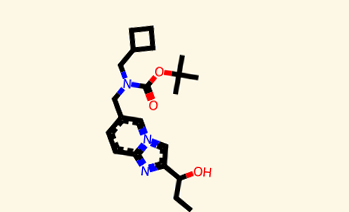 CCC(O)c1cn2cc(CN(CC3CCC3)C(=O)OC(C)(C)C)ccc2n1